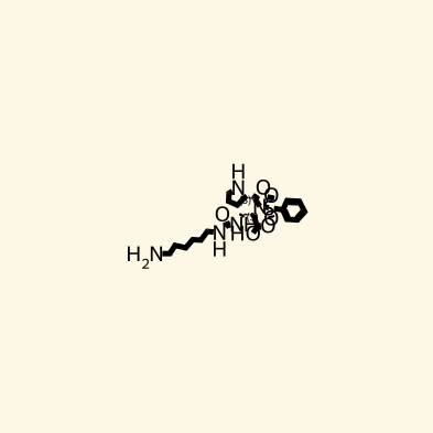 NCCCCCCNC(=O)NC[C@@H](C(=O)O)N(C(=O)[C@@H]1CCCN1)S(=O)(=O)c1ccccc1